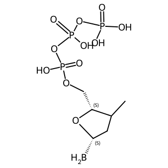 B[C@H]1CC(C)[C@@H](COP(=O)(O)OP(=O)(O)OP(=O)(O)O)O1